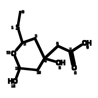 CSC1CC(O)(CC(=O)O)CC(O)O1